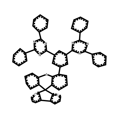 c1ccc(-c2nc(-c3ccccc3)nc(-c3cc(-c4nc(-c5ccccc5)nc(-c5ccccc5)n4)cc(-c4cccc5c4Sc4ccccc4C54c5ccccc5-c5ccccc54)c3)n2)cc1